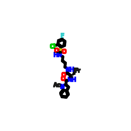 CC(=O)N1c2ccccc2CC1C(=O)N[C@@H](CC(C)C)C(=O)NCCCCNS(=O)(=O)c1ccc(F)cc1Cl